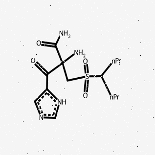 CCCC(CCC)S(=O)(=O)CC(N)(C(N)=O)C(=O)c1cnc[nH]1